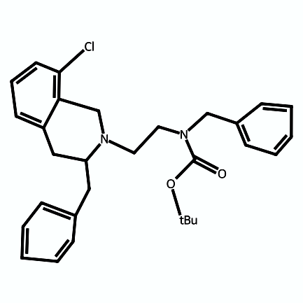 CC(C)(C)OC(=O)N(CCN1Cc2c(Cl)cccc2CC1Cc1ccccc1)Cc1ccccc1